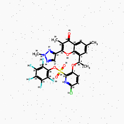 Cc1cc([C@@H](C)Oc2ccc(Cl)nc2S(=O)(=O)Oc2c(F)c(F)c(F)c(F)c2F)c2oc(-c3cnn(C)n3)c(C)c(=O)c2c1